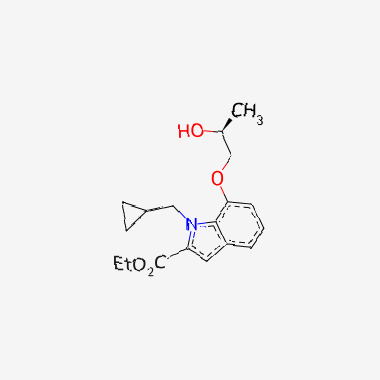 CCOC(=O)c1cc2cccc(OC[C@H](C)O)c2n1CC1CC1